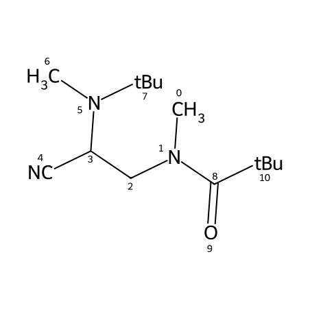 CN(CC(C#N)N(C)C(C)(C)C)C(=O)C(C)(C)C